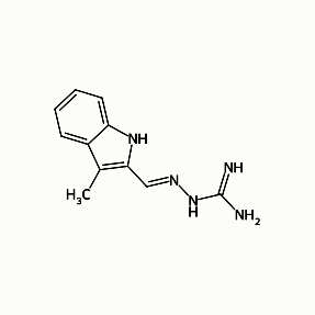 Cc1c(/C=N/NC(=N)N)[nH]c2ccccc12